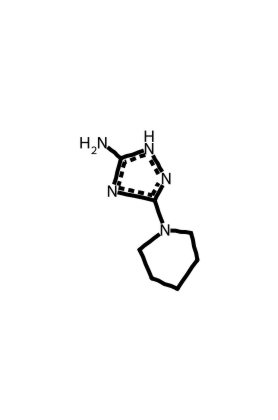 Nc1nc(N2CCCCC2)n[nH]1